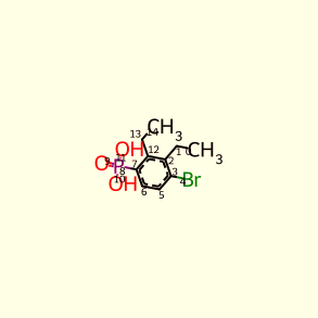 CCc1c(Br)ccc(P(=O)(O)O)c1CC